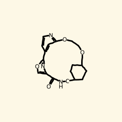 O=C1NCC2CCC(CC2)OCCOc2cc(ccn2)-c2nc1co2